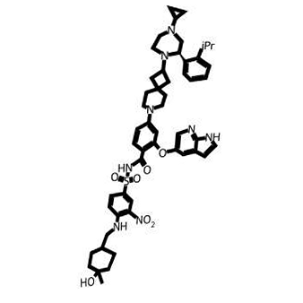 CC(C)c1ccccc1[C@@H]1CN(C2CC2)CCN1C1CC2(CCN(c3ccc(C(=O)NS(=O)(=O)c4ccc(NCC5CCC(C)(O)CC5)c([N+](=O)[O-])c4)c(Oc4cnc5[nH]ccc5c4)c3)CC2)C1